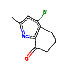 Cc1cc(Br)c2c(n1)C(=O)CCC2